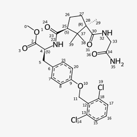 COC(=O)[C@H](Cc1ccc(OCc2c(Cl)cccc2Cl)cc1)NC(=O)[C@H]1CC[C@@](C)(C(=O)NCC(N)=O)C1(C)C